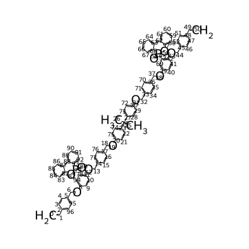 C=Cc1ccc(COc2ccc(OCc3ccc(COc4ccc(C(C)(C)c5ccc(OCc6ccc(COc7ccc(OCc8ccc(C=C)cc8)c(P8(=O)Oc9ccccc9-c9ccccc98)c7)cc6)cc5)cc4)cc3)c(P3(=O)Oc4ccccc4-c4ccccc43)c2)cc1